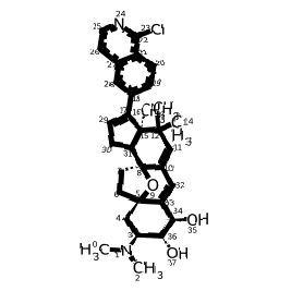 CN(C)[C@H]1C[C@@]23CC[C@@]4(O2)C(=CC(C)(C)[C@]2(C)C(c5ccc6c(Cl)nccc6c5)=CCC42)C=C3[C@@H](O)[C@@H]1O